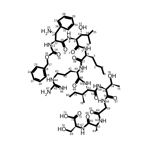 CCCC[C@H](NC(=O)[C@@H](NC(=O)[C@@H](NC(=O)OCc1ccccc1)[C@H](N)c1ccccc1)[C@H](O)C(C)C)C(=O)N[C@H](CCCNC(=N)N)C(=O)N[C@H](C(=O)N[C@H](C(=O)NCC(=O)N[C@@H](C)C(=O)N[C@@H](CO)C(=O)O)[C@H](C)O)[C@@H](C)CC